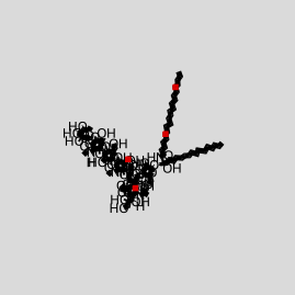 CCCCCCCCCCCCC/C=C/[C@@H](O)[C@H](CO[C@@H]1OC(CO)[C@@H](O[C@@H]2OC(CO)[C@H](O[C@@H]3OC(CO)[C@H](O)[C@H](O[C@@H]4OC(CO)[C@H](O)[C@H](O[C@@H]5OC(CO)[C@H](O)[C@H](O[C@H]6OC(C)[C@@H](O)C(O)[C@@H]6O)C5NC(C)=O)C4O)C3NC(C)=O)[C@H](O[C@]3(C(=O)O)CC(O)[C@@H](NC(C)=O)C([C@H](O)[C@H](O)CO)O3)C2O)[C@H](O)C1O)NC(=O)CCCCCCCCCCCCCCCCCCCCC